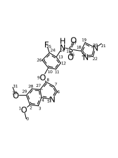 COc1cc2nccc(Oc3ccc(NS(=O)(=O)c4cn(C)cn4)c(F)c3)c2cc1OC